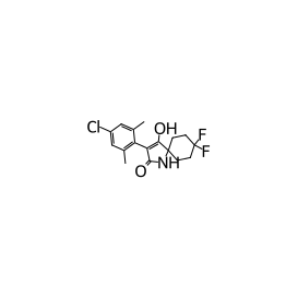 Cc1cc(Cl)cc(C)c1C1=C(O)C2(CCC(F)(F)CC2)NC1=O